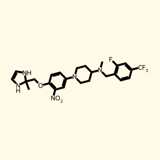 CN(Cc1ccc(C(F)(F)F)cc1F)C1CCN(c2ccc(OCC3(C)NC=CN3)c([N+](=O)[O-])c2)CC1